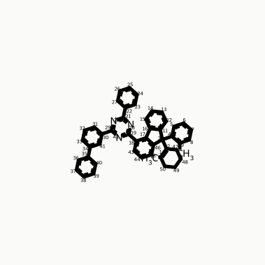 CC1=C(C2(c3ccccc3C)c3ccccc3-c3c(-c4nc(-c5ccccc5)nc(-c5cccc(-c6ccccc6)c5)n4)cccc32)CCCC1